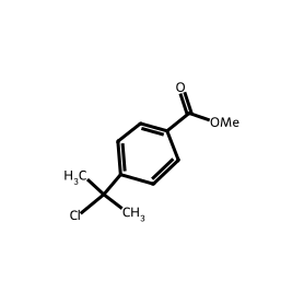 COC(=O)c1ccc(C(C)(C)Cl)cc1